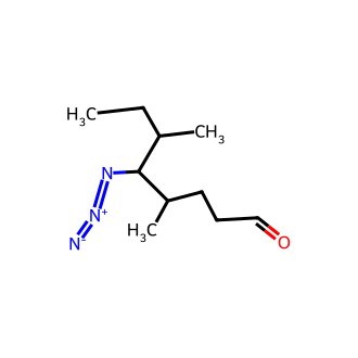 CCC(C)C(N=[N+]=[N-])C(C)CCC=O